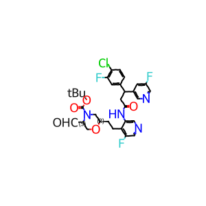 CC(C)(C)OC(=O)N1C[C@@H](CCc2c(F)cncc2NC(=O)CC(c2cncc(F)c2)c2ccc(Cl)c(F)c2)OC[C@H]1C=O